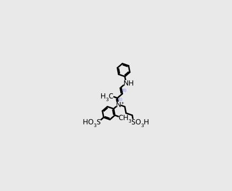 CC(/C=C/Nc1ccccc1)=[N+](/CCCS(=O)(=O)O)c1ccc(S(=O)(=O)O)cc1C